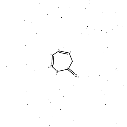 O=C1CC=CC=NS1